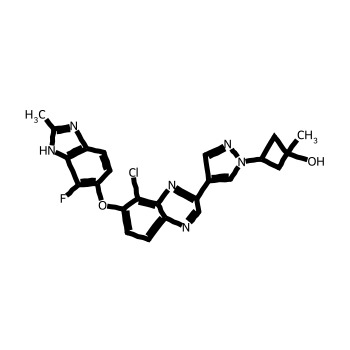 Cc1nc2ccc(Oc3ccc4ncc(-c5cnn(C6CC(C)(O)C6)c5)nc4c3Cl)c(F)c2[nH]1